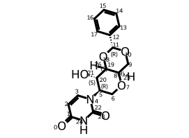 O=c1ccn([C@@H]2CO[C@@H]3CO[C@@H](c4ccccc4)O[C@H]3[C@H]2O)c(=O)[nH]1